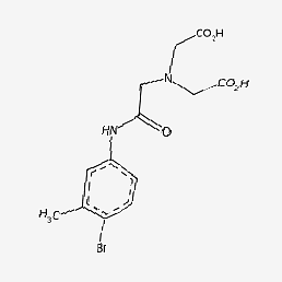 Cc1cc(NC(=O)CN(CC(=O)O)CC(=O)O)ccc1Br